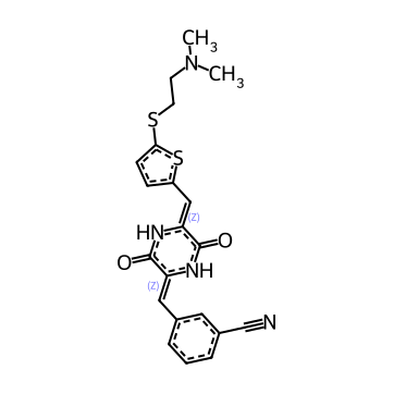 CN(C)CCSc1ccc(/C=c2\[nH]c(=O)/c(=C/c3cccc(C#N)c3)[nH]c2=O)s1